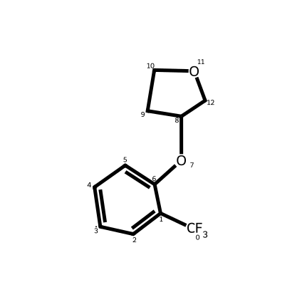 FC(F)(F)c1c[c]ccc1OC1CCOC1